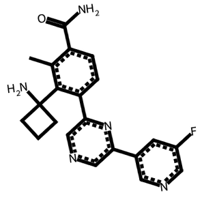 Cc1c(C(N)=O)ccc(-c2cncc(-c3cncc(F)c3)n2)c1C1(N)CCC1